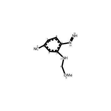 COCNc1cc(C#N)ccc1N=N